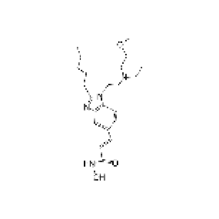 CCCCCc1nc2cc(C=CC(=O)NO)ccc2n1CCN(CC)CCOC